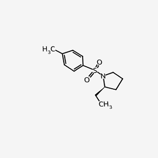 CC[C@@H]1CCCN1S(=O)(=O)c1ccc(C)cc1